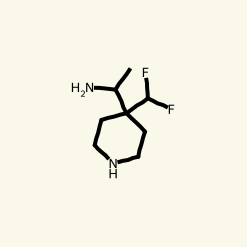 CC(N)C1(C(F)F)CCNCC1